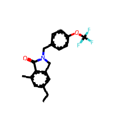 CCc1cc(C)c2c(c1)CN(Cc1ccc(OC(F)(F)F)cc1)C2=O